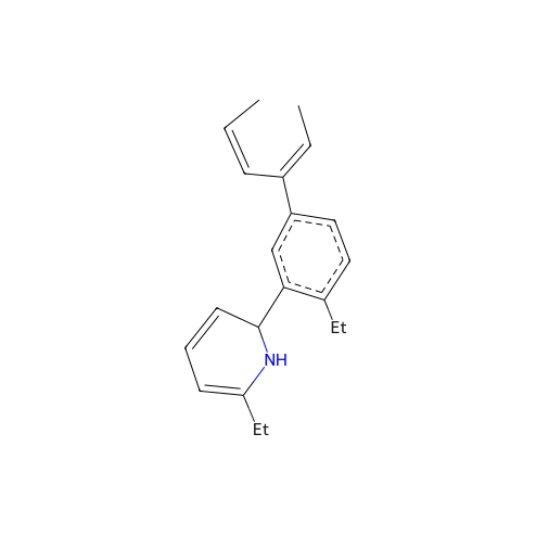 C/C=C\C(=C/C)c1ccc(CC)c(C2C=CC=C(CC)N2)c1